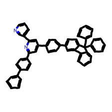 c1ccc(-c2ccc(-c3cc(-c4ccc(-c5ccc6c(c5)-c5ccccc5C6(c5ccccc5)c5ccccc5)cc4)cc(-c4cccnc4)n3)cc2)cc1